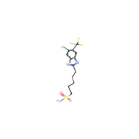 NS(=O)(=O)CCCCCc1nc2cc(C(F)(F)F)c(Cl)cc2[nH]1